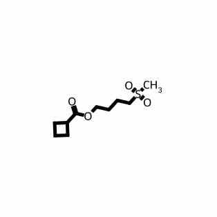 CS(=O)(=O)CCCCOC(=O)C1CCC1